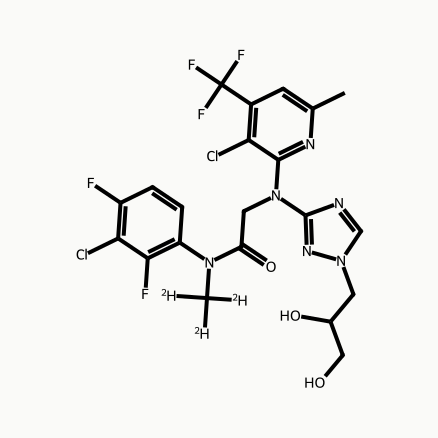 [2H]C([2H])([2H])N(C(=O)CN(c1ncn(CC(O)CO)n1)c1nc(C)cc(C(F)(F)F)c1Cl)c1ccc(F)c(Cl)c1F